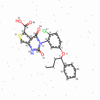 CCCC(Oc1ccc(Cl)c(-n2c(=O)[nH]c3csc(C(=O)O)c3c2=O)c1)c1ccccc1